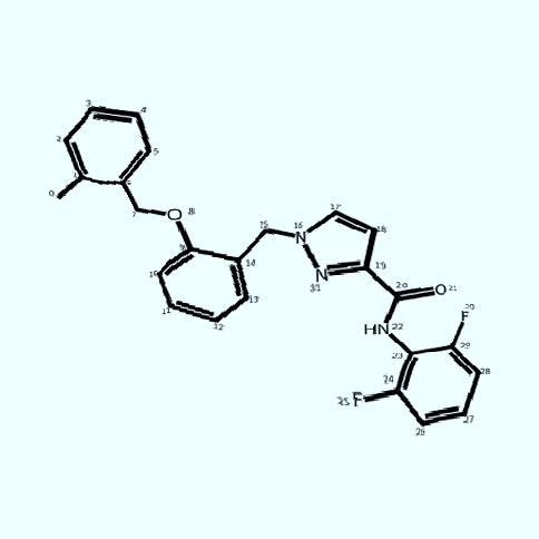 Cc1ccccc1COc1ccccc1Cn1ccc(C(=O)Nc2c(F)cccc2F)n1